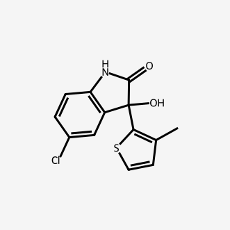 Cc1ccsc1C1(O)C(=O)Nc2ccc(Cl)cc21